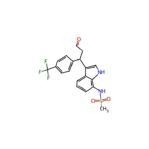 CS(=O)(=O)Nc1cccc2c(C(CC=O)c3ccc(C(F)(F)F)cc3)c[nH]c12